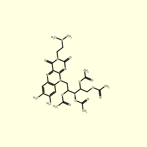 CC(=O)OCC(OC(C)=O)[C@@H](OC(C)=O)C(Cn1c2nc(=O)n(CCN(C)C)c(=O)c-2nc2cc(C)c(C)cc21)OC(C)=O